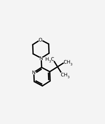 CC(C)(C)c1cccnc1N1CCOCC1